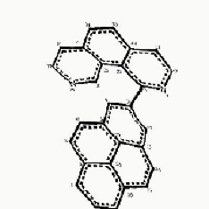 c1cc2ccc3cc(-c4nccc5ccc6ccncc6c45)cc4ccc(c1)c2c34